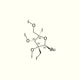 CCC(C)[C@@H]1O[C@](I)(COI)[C@@H](OI)[C@@]1(CI)OI